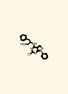 OCC(Cc1ccccc1)Nc1nc(Cl)nc2c1cnn2-c1ccccc1